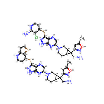 Cc1cc(C2(CN)C3CCN(c4cnc5c(Sc6ccnc(N)c6Cl)n[nH]c5n4)CC32)no1.Cc1cc(C2(CN)C3CCN(c4cnc5c(Sc6ccnc7ccsc67)n[nH]c5n4)CC32)no1